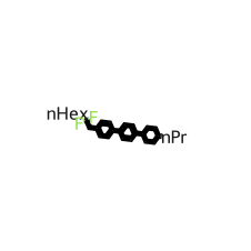 CCCCCCC(F)(F)Cc1ccc(-c2ccc(C3CCC(CCC)CC3)cc2)cc1